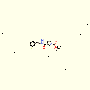 CC(C)(C)OC(=O)N1CCC(C(=O)NCCc2cccc(F)c2)C1